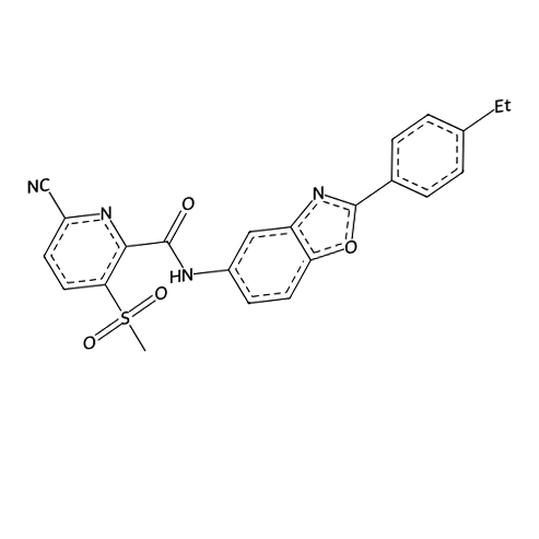 CCc1ccc(-c2nc3cc(NC(=O)c4nc(C#N)ccc4S(C)(=O)=O)ccc3o2)cc1